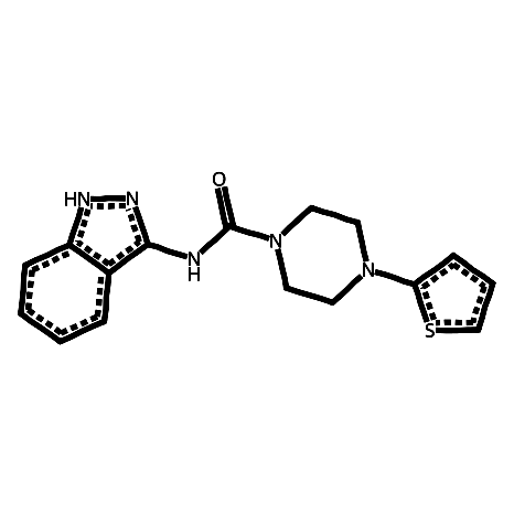 O=C(Nc1n[nH]c2ccccc12)N1CCN(c2cccs2)CC1